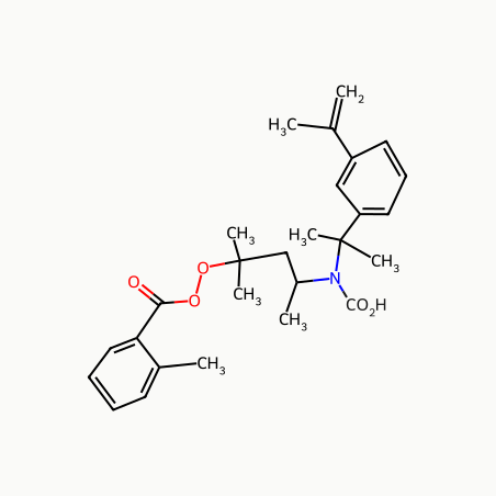 C=C(C)c1cccc(C(C)(C)N(C(=O)O)C(C)CC(C)(C)OOC(=O)c2ccccc2C)c1